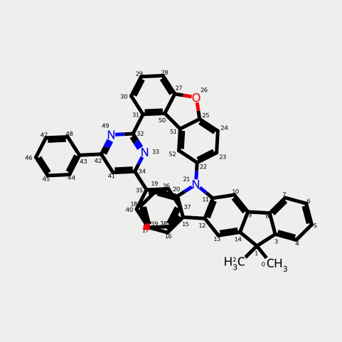 CC1(C)c2ccccc2-c2cc3c(cc21)c1ccccc1n3-c1ccc2oc3cccc(-c4nc(-c5ccccc5)cc(-c5ccccc5)n4)c3c2c1